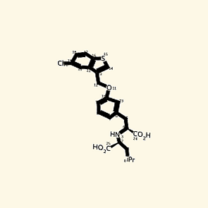 CC(C)C[C@H](N[C@@H](Cc1cccc(OCc2csc3ccc(Cl)cc23)c1)C(=O)O)C(=O)O